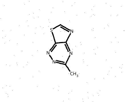 Cc1nnc2scnc2n1